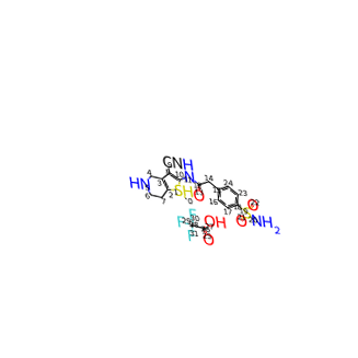 C[SH]1C2=C(CNCC2)C(C#N)=C1NC(=O)Cc1ccc(S(N)(=O)=O)cc1.O=C(O)C(F)(F)F